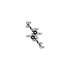 O=C(NCCNCCO)c1ccc(O)c2nc3c(/C=N/CCNCCO)c(O)cc(O)c3nc12